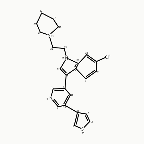 Clc1ccc2c(-c3cncc(-c4ccsc4)c3)cn(CCN3CCCCC3)c2c1